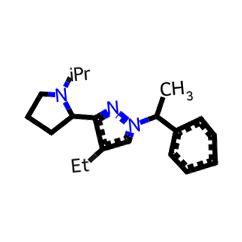 CCc1cn(C(C)c2ccccc2)nc1C1CCCN1C(C)C